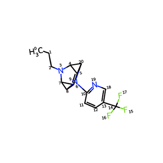 CCCN1C2C3=C4C1C4N(c1ccc(C(F)(F)F)cn1)C32